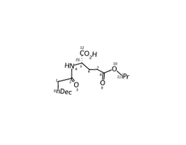 CCCCCCCCCCCC(=O)N[C@@H](CCC(=O)OC(C)C)C(=O)O